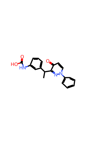 CC(c1cccc(NC(=O)O)c1)c1nn(-c2ccccc2)ccc1=O